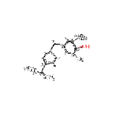 C=C(C(=O)O)c1ccc(Cc2cc(C(C)(C)C)c(O)c(C(C)(C)C)c2)cc1